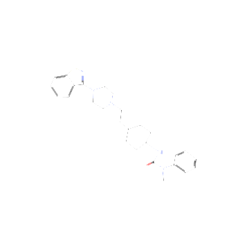 CN(C(=O)NC1CCC(CCN2CCN(c3nsc4ccccc34)CC2)CC1)c1ccccc1